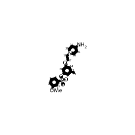 COc1cccc(S(=O)(=O)Oc2cc(C)cc(OCC[n+]3ccc(N)cc3)c2)c1